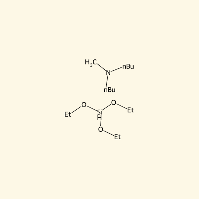 CCCCN(C)CCCC.CCO[SiH](OCC)OCC